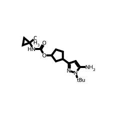 CC1(NC(=O)OC2CCC(c3cc(N)n(C(C)(C)C)n3)C2)CC1